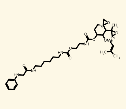 COC1C(OC(=O)NCCOC(=O)NCCCCCCNC(=O)CNc2ccccc2)CC[C@]2(CO2)C1C1(C)O[C@@H]1CC=C(C)C